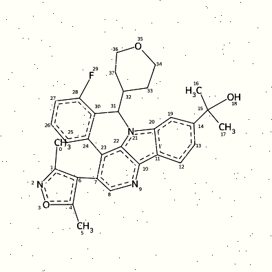 Cc1noc(C)c1-c1cnc2c3ccc(C(C)(C)O)cc3n3c2c1-c1cccc(F)c1C3C1CCOCC1